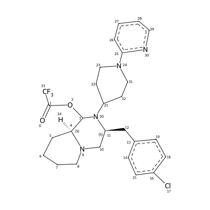 O=C(OC1[C@@H]2CCCCN2C[C@H](Cc2ccc(Cl)cc2)N1C1CCN(c2ccccn2)CC1)C(F)(F)F